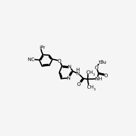 CC(C)c1cc(Oc2ccnc(NC(=O)C(C)(C)NC(=O)OC(C)(C)C)n2)ccc1C#N